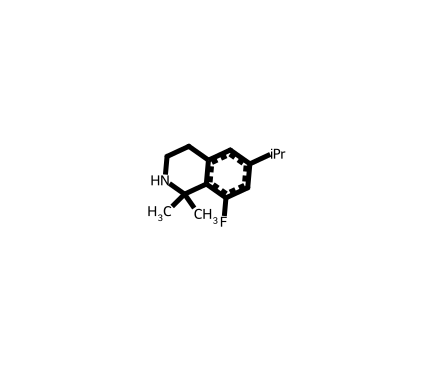 CC(C)c1cc(F)c2c(c1)CCNC2(C)C